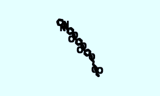 C=CC(=O)OCCCCOc1ccc(C(=O)Oc2ccc(C(=O)Oc3ccc(-n4nc5ccccc5n4)cc3)cc2)cc1